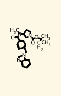 CN(C(=O)c1ccc(Cn2cnc3ccccc32)cc1)C1CCN(C(=O)OC(C)(C)C)C1